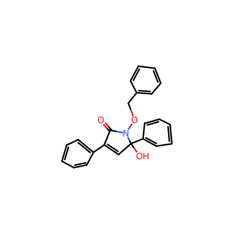 O=C1C(c2ccccc2)=CC(O)(c2ccccc2)N1OCc1ccccc1